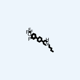 CCCCC[SiH]1CCC(C2CCC(c3ccc(OC(F)(F)F)c(F)c3)CC2)CC1